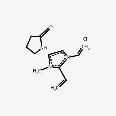 C=Cc1n(C=C)cc[n+]1C.O=C1CCCN1.[Cl-]